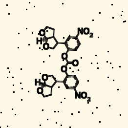 O=C(Oc1ccc([N+](=O)[O-])cc1C1CO[C@H]2OCCC12)Oc1ccc([N+](=O)[O-])cc1C1CO[C@H]2OCCC12